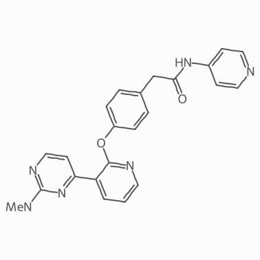 CNc1nccc(-c2cccnc2Oc2ccc(CC(=O)Nc3ccncc3)cc2)n1